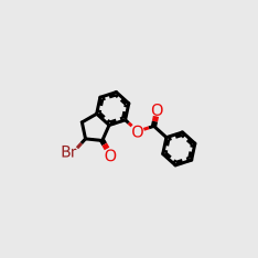 O=C(Oc1cccc2c1C(=O)C(Br)C2)c1ccccc1